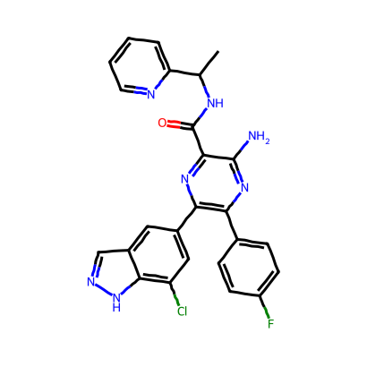 CC(NC(=O)c1nc(-c2cc(Cl)c3[nH]ncc3c2)c(-c2ccc(F)cc2)nc1N)c1ccccn1